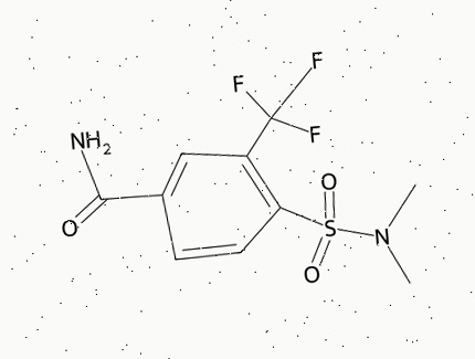 CN(C)S(=O)(=O)c1ccc(C(N)=O)cc1C(F)(F)F